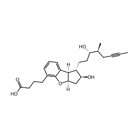 CC#CC[C@H](C)[C@@H](O)CC[C@H]1[C@@H]2c3cccc(CCCC(=O)O)c3O[C@@H]2C[C@@H]1O